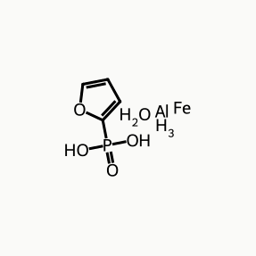 O.O=P(O)(O)c1ccco1.[AlH3].[Fe]